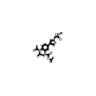 CNC(=O)Cn1cc(-c2ccc3c(c2)N(C(=O)OC(C)C)CC(C)N3C(C)=O)cn1